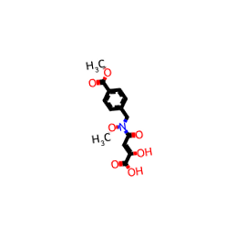 COC(=O)c1ccc(CN(OC)C(=O)C=C(O)C(=O)O)cc1